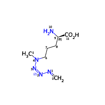 C=N/N=N\N(C)CCC[C@@H](N)C(=O)O